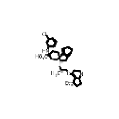 CC[C@H]1CCc2nccc(OC[C@H](C)C[C@H]3Cc4ccccc4C34CCC(Nc3cccc(Cl)c3)(C(=O)O)CC4)c21